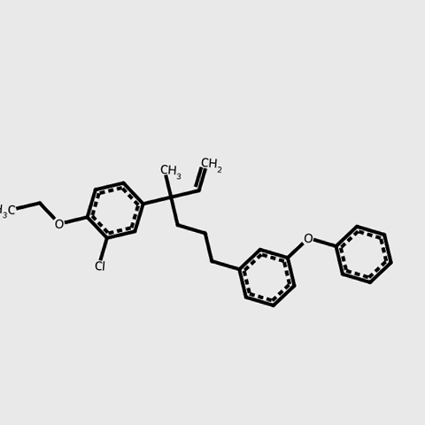 C=CC(C)(CCCc1cccc(Oc2ccccc2)c1)c1ccc(OCC)c(Cl)c1